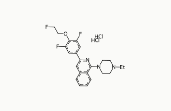 CCN1CCN(c2nc(-c3cc(F)c(OCCF)c(F)c3)cc3ccccc23)CC1.Cl.Cl